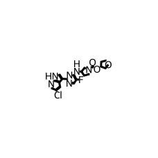 O=C(O[C@@H]1CCOC1)N1CCC(Nc2nc(-c3c[nH]c4ncc(Cl)cc34)ncc2F)C1